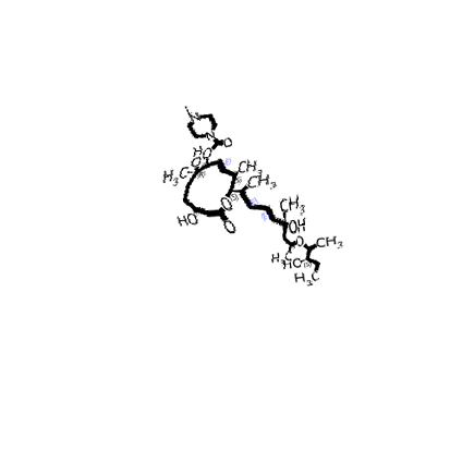 CC[C@H](O)C(C)O[C@@H](C)C[C@@](C)(O)/C=C/C=C(\C)[C@H]1OC(=O)C[C@H](O)CC[C@@](C)(O)[C@@H](OC(=O)N2CCN(I)CC2)/C=C/[C@@H]1C